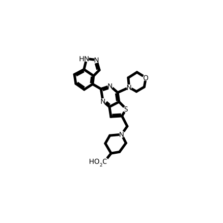 O=C(O)C1CCN(Cc2cc3nc(-c4cccc5[nH]ncc45)nc(N4CCOCC4)c3s2)CC1